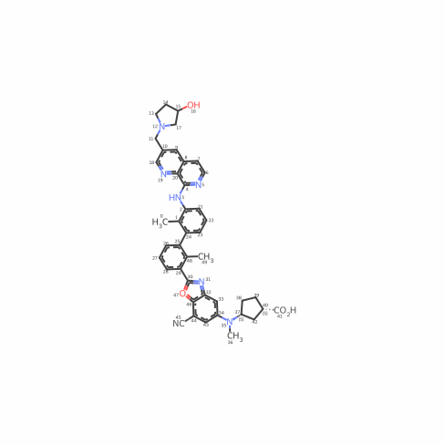 Cc1c(Nc2nccc3cc(CN4CCC(O)C4)cnc23)cccc1-c1cccc(-c2nc3cc(N(C)[C@H]4CC[C@H](C(=O)O)C4)cc(C#N)c3o2)c1C